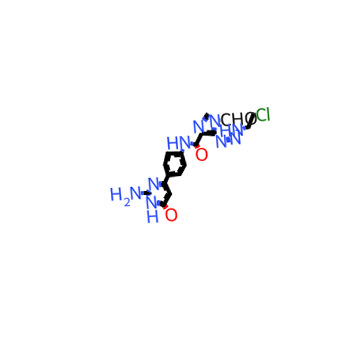 Nc1nc(-c2ccc(NC(=O)c3ncn(C=O)c3/N=N\NCCCl)cc2)cc(=O)[nH]1